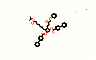 CC(C)OC(=O)CCCC=CCC1C(OC(=O)c2ccc(-c3ccccc3)cc2)CC(OC(=O)c2ccc(-c3ccccc3)cc2)C1C=CC(=O)COc1ccccc1